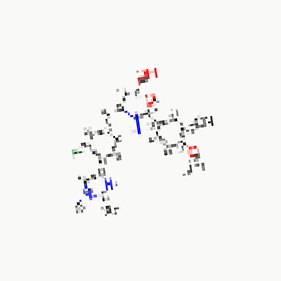 CC(=O)c1nc(-c2ccc(CC(CCO)NC(=O)c3ccc(OC(C)C)c(C#N)c3)cc2F)cn1C